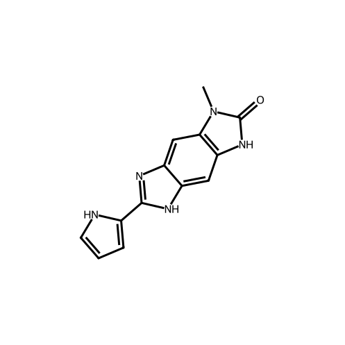 Cn1c(=O)[nH]c2cc3[nH]c(-c4ccc[nH]4)nc3cc21